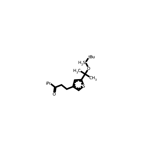 CC(C)C(=O)CCc1csc(C(C)(C)O[SiH2]C(C)(C)C)c1